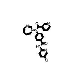 O=C(Nc1ccc(Cl)cn1)c1ccc(N(C(=O)c2cccnc2)N2C=CC=CN=C2)cc1